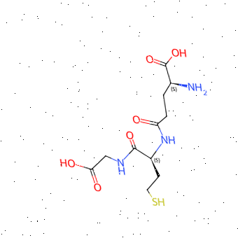 N[C@@H](CCC(=O)N[C@@H](CCS)C(=O)NCC(=O)O)C(=O)O